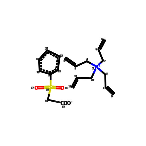 C=CC[N+](CC=C)(CC=C)CC=C.O=C([O-])CS(=O)(=O)c1ccccc1